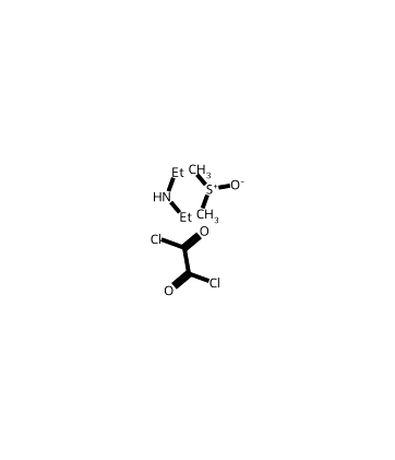 CCNCC.C[S+](C)[O-].O=C(Cl)C(=O)Cl